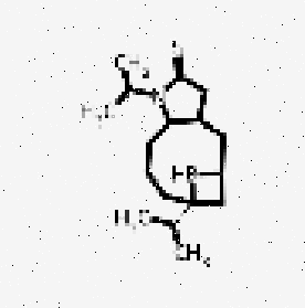 CC(C)N1C(=S)CC2CC3B[C@](C(C)C)(CCCC21)C3